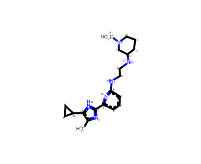 Cc1nc(-c2cccc(NCCNC3CCCN(C(=O)O)C3)n2)[nH]c1C1CC1